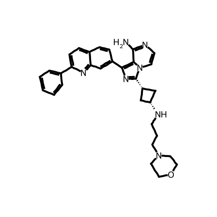 Nc1nccn2c1c(-c1ccc3ccc(-c4ccccc4)nc3c1)nc2[C@H]1C[C@@H](NCCCN2CCOCC2)C1